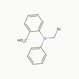 CC(=O)CN(c1ccccc1)c1ccccc1C(=O)O